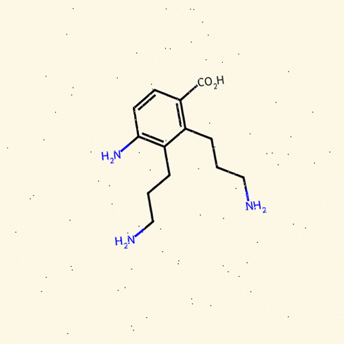 NCCCc1c(N)ccc(C(=O)O)c1CCCN